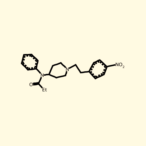 CCC(=O)N(c1ccccc1)C1CCN(CCc2ccc([N+](=O)[O-])cc2)CC1